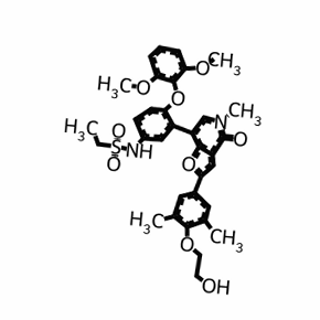 CCS(=O)(=O)Nc1ccc(Oc2c(OC)cccc2OC)c(-c2cn(C)c(=O)c3cc(-c4cc(C)c(OCCO)c(C)c4)oc23)c1